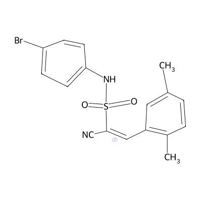 Cc1ccc(C)c(/C=C(/C#N)S(=O)(=O)Nc2ccc(Br)cc2)c1